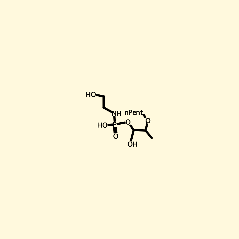 CCCCCOC(C)C(O)OP(=O)(O)NCCO